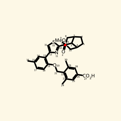 COC(=O)C1C2CCC1CN(c1nc(-c3cc(C)ccc3OCc3c(C)cc(C(=O)O)cc3C)cs1)C2